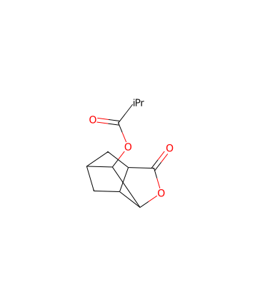 CC(C)C(=O)OC1C2CC3C(=O)OC1C3C2